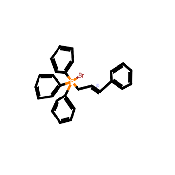 BrP(C/C=C/c1ccccc1)(c1ccccc1)(c1ccccc1)c1ccccc1